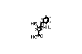 NC(CCC(=O)O)(Cc1ccccc1)C(=O)O